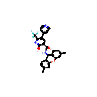 Cc1ccc2c(c1)Oc1cc(C)ccc1C2NC(=O)c1cc(-c2ccncc2)c(C(F)(F)F)[nH]c1=O